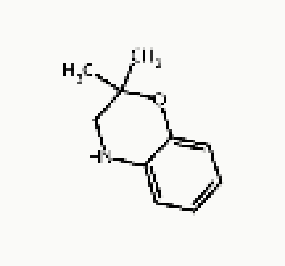 CC1(C)CNc2c[c]ccc2O1